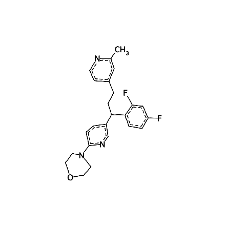 Cc1cc(CCC(c2ccc(N3CCOCC3)nc2)c2ccc(F)cc2F)ccn1